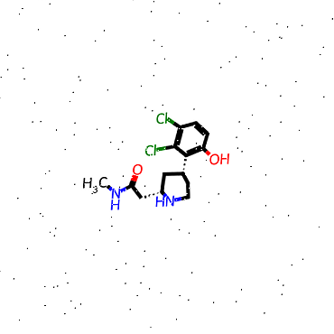 CNC(=O)C[C@@H]1C[C@H](c2c(O)ccc(Cl)c2Cl)CCN1